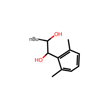 CCCCC(O)C(O)c1c(C)cccc1C